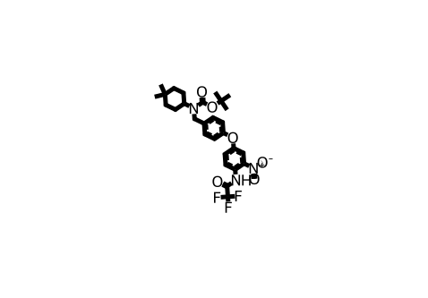 CC1(C)CCC(N(Cc2ccc(Oc3ccc(NC(=O)C(F)(F)F)c([N+](=O)[O-])c3)cc2)C(=O)OC(C)(C)C)CC1